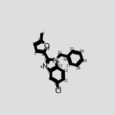 Cc1ccc(-c2nc3cc(Cl)ccc3n2Cc2ccccc2)o1